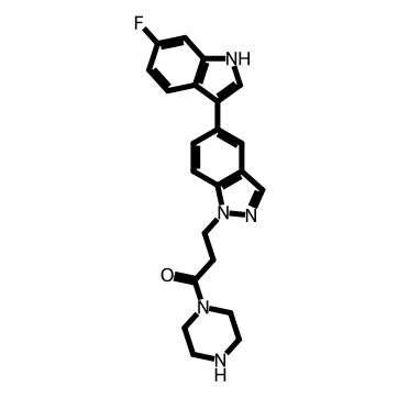 O=C(CCn1ncc2cc(-c3c[nH]c4cc(F)ccc34)ccc21)N1CCNCC1